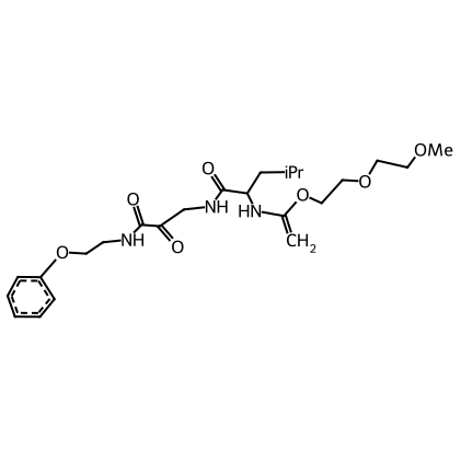 C=C(NC(CC(C)C)C(=O)NCC(=O)C(=O)NCCOc1ccccc1)OCCOCCOC